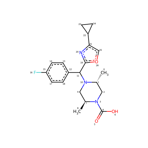 C[C@@H]1CN(C(=O)O)[C@@H](C)CN1C(c1ccc(F)cc1)c1nc(C2CC2)co1